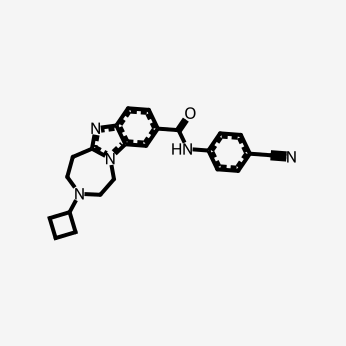 N#Cc1ccc(NC(=O)c2ccc3nc4n(c3c2)CCN(C2CCC2)CC4)cc1